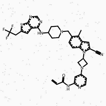 C=CC(=O)Nc1cc(N2CC(n3c(C#N)cc4c(C)c(CN5CCC(Nc6ncnc7sc(CC(F)(F)F)cc67)CC5)ccc43)C2)ccn1